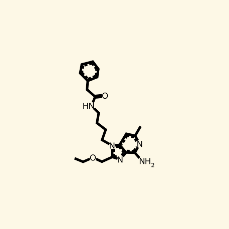 CCOCc1nc2c(N)nc(C)cc2n1CCCCNC(=O)Cc1ccccc1